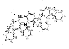 N#Cc1ccc(-n2c3ccccc3c3c4c(ccc32)oc2ccccc24)c(C#N)c1-n1c2ccccc2c2c3c(ccc21)oc1ccccc13